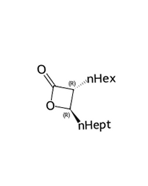 CCCCCCC[C@H]1OC(=O)[C@@H]1CCCCCC